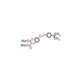 COC(=O)C(Cc1ccc(OCCc2ccc(N(C)C)cc2)cc1)C(=O)OC